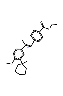 CCOC(=O)c1ccc(/C=C(\C)c2ccc(OC)c(C3(C)CCCCC3)c2)cc1